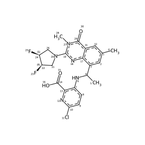 Cc1cc(C(C)Nc2ccc(Cl)nc2C(=O)O)c2nc(N3C[C@@H](F)[C@@H](F)C3)n(C)c(=O)c2c1